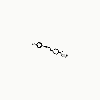 CN(C(=O)O)C1CCN(CCC#Cc2ccc(Cl)cc2)CC1